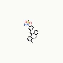 Cc1cccc2c1CCc1ccccc1C2=Cc1cccc(NS(C)(=O)=O)c1